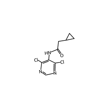 O=C(CC1CC1)Nc1c(Cl)ncnc1Cl